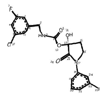 O=C(NCc1cc(F)cc(Cl)c1)O[C@@]1(O)CCN(c2cccc(F)c2)C1=O